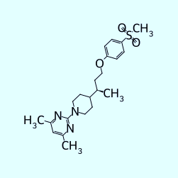 Cc1cc(C)nc(N2CCC([C@H](C)CCOc3ccc(S(C)(=O)=O)cc3)CC2)n1